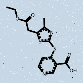 CCOC(=O)Cc1sc(Sc2ccncc2C(=O)O)nc1C